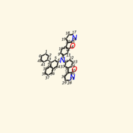 c1ccc(-c2cc(N(c3ccc4c(c3)oc3ncccc34)c3ccc4oc5ncccc5c4c3)cc3ccccc23)cc1